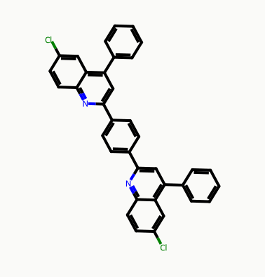 Clc1ccc2nc(-c3ccc(-c4cc(-c5ccccc5)c5cc(Cl)ccc5n4)cc3)cc(-c3ccccc3)c2c1